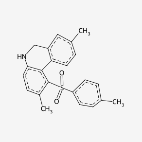 Cc1ccc(S(=O)(=O)c2c(C)ccc3c2-c2ccc(C)cc2CN3)cc1